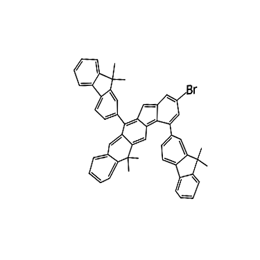 CC1(C)c2ccccc2-c2ccc(-c3c4c(cc5c3=Cc3ccccc3C5(C)C)=c3c(-c5ccc6c(c5)C(C)(C)c5ccccc5-6)cc(Br)cc3=C4)cc21